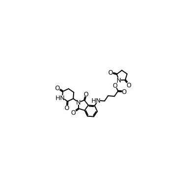 O=C1CCC(N2C(=O)c3cccc(NCCCC(=O)ON4C(=O)CCC4=O)c3C2=O)C(=O)N1